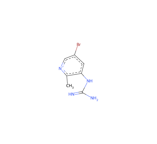 Cc1ncc(Br)cc1NC(=N)N